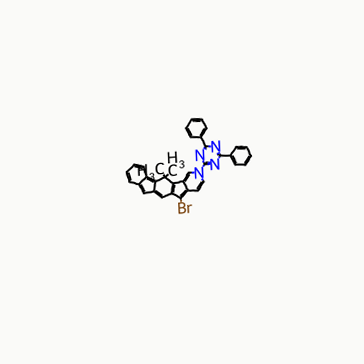 CC1(C)C2=c3ccccc3=CC2=Cc2c(Br)c3ccn(-c4nc(-c5ccccc5)nc(-c5ccccc5)n4)cc-3c21